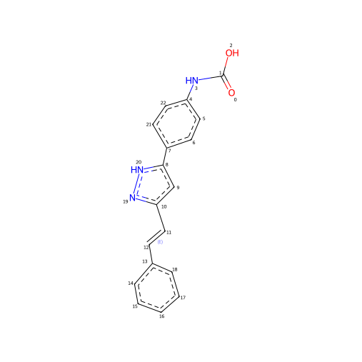 O=C(O)Nc1ccc(-c2cc(/C=C/c3ccccc3)n[nH]2)cc1